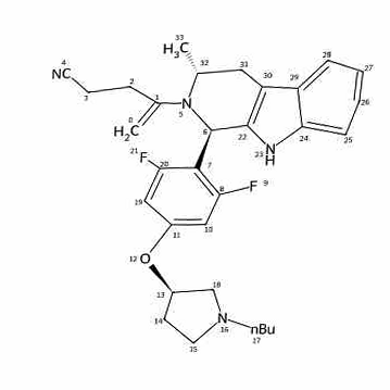 C=C(CCC#N)N1[C@H](c2c(F)cc(O[C@@H]3CCN(CCCC)C3)cc2F)c2[nH]c3ccccc3c2C[C@H]1C